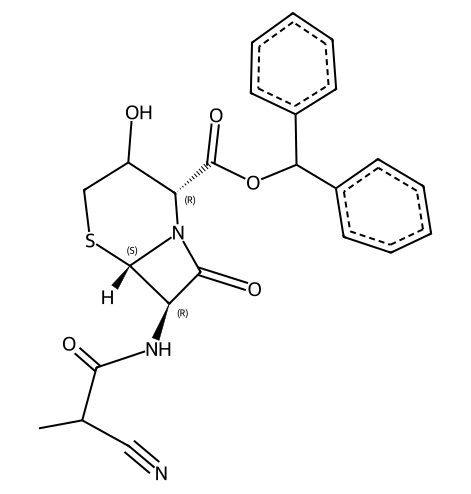 CC(C#N)C(=O)N[C@@H]1C(=O)N2[C@@H](C(=O)OC(c3ccccc3)c3ccccc3)C(O)CS[C@@H]12